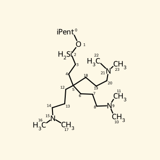 CCCC(C)O[SiH2]CCC(CCCN(C)C)(CCCN(C)C)CCCN(C)C